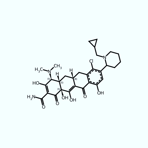 CN(C)[C@@H]1C(O)=C(C(N)=O)C(=O)[C@@]2(O)C(O)=C3C(=O)c4c(O)cc(C5CCCCN5CC5CC5)c(Cl)c4C[C@H]3C[C@@H]12